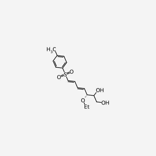 CCO[C@H](/C=C/C=C/S(=O)(=O)c1ccc(C)cc1)C(O)CO